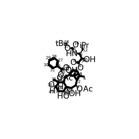 CC(=O)O[C@H]1C2=C(C)[C@@H](OC(=O)C(O)[C@H](CC(C)C)NC(=O)OC(C)(C)C)C[C@@](O)([C@@H](OC(=O)c3ccccc3)[C@@H]3[C@]4(OC(C)=O)CO[C@@H]4C[C@H](O)[C@@]3(C)[C@H]1O)C2(C)C